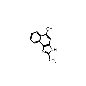 [CH2]c1nc2c(cc(O)c3ccccc32)[nH]1